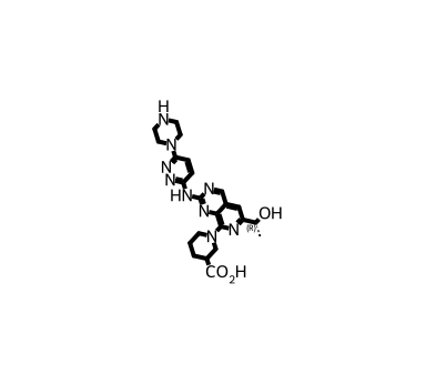 C[C@@H](O)c1cc2cnc(Nc3ccc(N4CCNCC4)nn3)nc2c(N2CCCC(C(=O)O)C2)n1